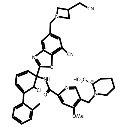 COc1cc(C(=O)NC2(c3nc4cc(CN5CC(CC#N)C5)cc(C#N)c4o3)C=CC=C(c3ccccc3C)C2Cl)ncc1CN1CCCC[C@H]1C(=O)O